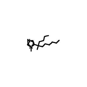 CCCCCCC(C)(CCCC)c1cncn1C